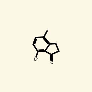 O=C1CCc2c(I)ccc(Br)c21